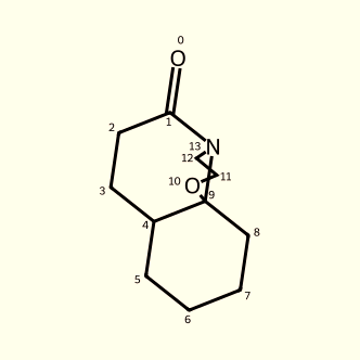 O=C1CCC2CCCCC23OCCN13